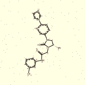 CC(C)[C@H]1CN(c2ccc(-n3ccnc3)nc2)C(=O)N1CC(=O)Nc1cccc(C(F)(F)F)c1